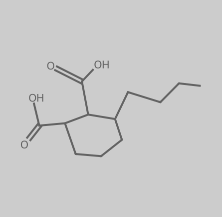 CCCCC1CCCC(C(=O)O)C1C(=O)O